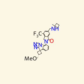 COC[C@H]1C[C@@](c2cccc(N3Cc4c(cc(CNC5(C)CCC5)cc4C(F)(F)F)C3=O)c2)(c2nncn2C)C1